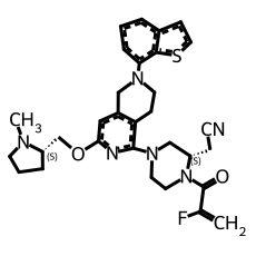 C=C(F)C(=O)N1CCN(c2nc(OC[C@@H]3CCCN3C)cc3c2CCN(c2cccc4ccsc24)C3)C[C@@H]1CC#N